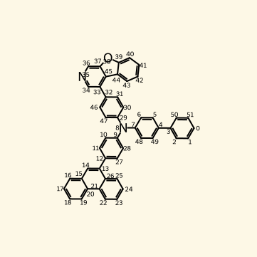 c1ccc(-c2ccc(N(c3ccc(-c4cc5ccccc5c5ccccc45)cc3)c3ccc(-c4cncc5oc6ccccc6c45)cc3)cc2)cc1